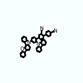 N#Cc1ccc(-c2ccc(-c3ccc(-n4c5ccccc5c5c6oc7ccccc7c6ccc54)cc3-n3c4ccccc4c4ccccc43)cc2C#N)cc1